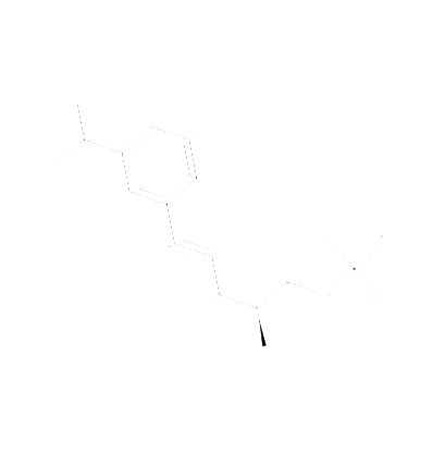 CC(C)c1cccc(/C=C/C[C@H](C)COC(C)(C)C)c1